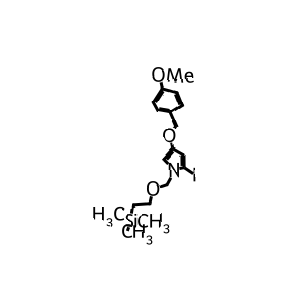 COc1ccc(COc2cc(I)n(COCC[Si](C)(C)C)c2)cc1